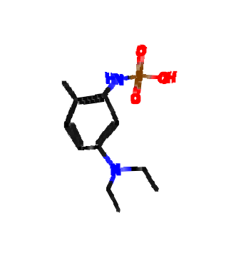 CCN(CC)c1ccc(C)c(NS(=O)(=O)O)c1